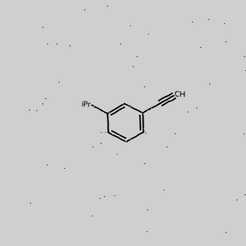 C#Cc1cc[c]c(C(C)C)c1